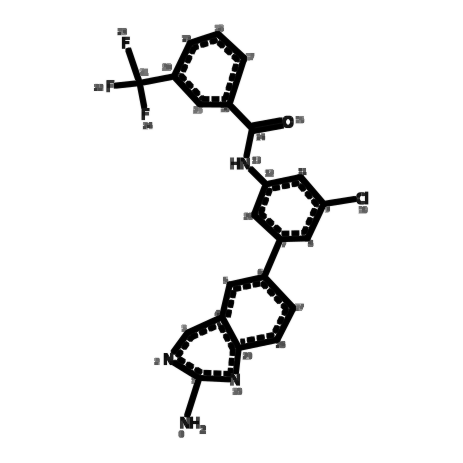 Nc1ncc2cc(-c3cc(Cl)cc(NC(=O)c4cccc(C(F)(F)F)c4)c3)ccc2n1